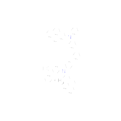 Cc1ccccc1-c1cc(N(c2ccc(-c3cccc(-c4ccc(N(c5ccccc5)c5cc6ccc7cccc8ccc(c5)c6c78)cc4)c3)cc2)c2cc3ccc4cccc5ccc(c2)c3c45)ccc1C